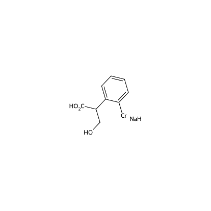 O=C(O)C(CO)c1cccc[c]1[Cr].[NaH]